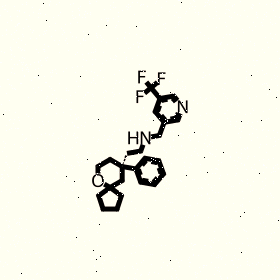 FC(F)(F)c1cncc(CNCC[C@@]2(c3ccccc3)CCOC3(CCCC3)C2)c1